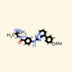 COc1ccc(-c2cccn3nc(Nc4ccc(C(=O)NCC(C)(C)N)cc4)nc23)cc1